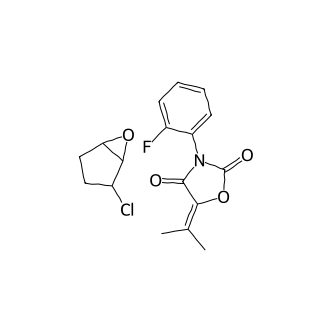 CC(C)=C1OC(=O)N(c2ccccc2F)C1=O.ClC1CCC2OC12